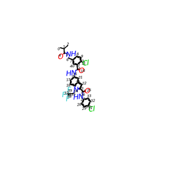 CC(C)C(=O)NCc1ccc(Cl)c(C(=O)Nc2ccc3c(c2)cc(C(=O)Nc2ccc(Cl)cc2)n3CC(F)(F)F)c1